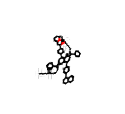 FC(F)(F)C(F)(F)C(F)(F)C(F)(F)C(F)(F)Cc1oc2c(cc(-c3ccc(-c4cccc5ccccc45)cc3)c3c4oc(CC(F)(F)C(F)(F)C(F)(F)C(F)(F)C(F)(F)F)c(-c5ccccc5)c4cc(-c4ccc(-c5ccc6ccccc6c5)cc4)c23)c1-c1ccccc1